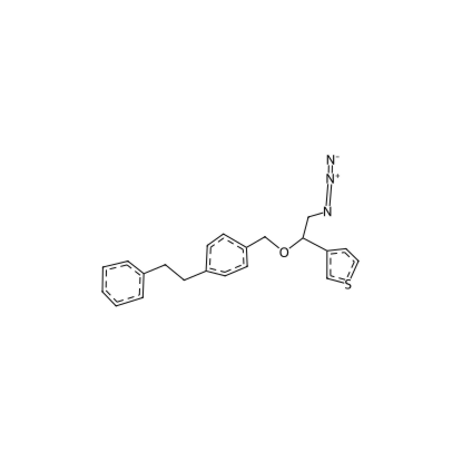 [N-]=[N+]=NCC(OCc1ccc(CCc2ccccc2)cc1)c1ccsc1